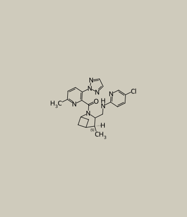 Cc1ccc(-n2nccn2)c(C(=O)N2C3CC(C3)[C@H](C)C2CNc2ccc(Cl)cn2)n1